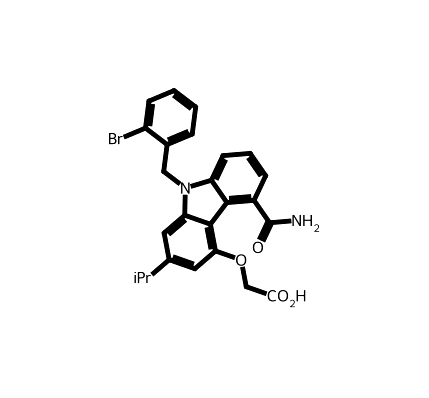 CC(C)c1cc(OCC(=O)O)c2c3c(C(N)=O)cccc3n(Cc3ccccc3Br)c2c1